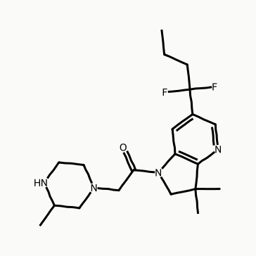 CCCC(F)(F)c1cnc2c(c1)N(C(=O)CN1CCNC(C)C1)CC2(C)C